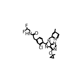 Cc1ccnc(Cn2c(-c3ccc(CC(=O)NCC(F)F)cc3Cl)nc3c(OC4(C)CC4)ncnc32)c1